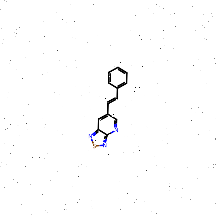 C(=Cc1cnc2nsnc2c1)c1ccccc1